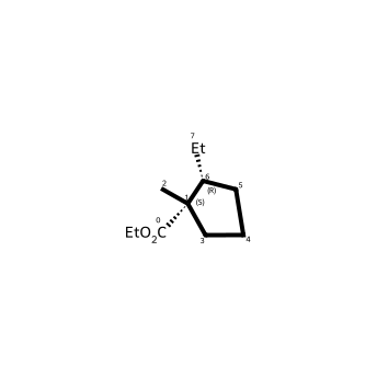 CCOC(=O)[C@@]1(C)CCC[C@H]1CC